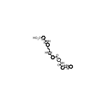 O=C(O)c1cccc(-c2nc3cc(/C=C/c4nc(-c5cccc(C(=O)N6CCC(NC(=O)c7cccc(-c8nc9ccccc9[nH]8)n7)CC6)c5)c[nH]4)ccc3[nH]2)n1